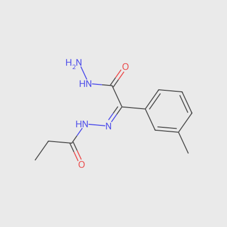 CCC(=O)NN=C(C(=O)NN)c1cccc(C)c1